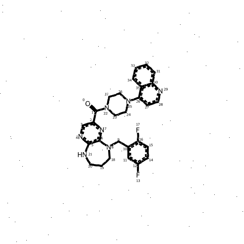 O=C(c1cnc2c(n1)N(Cc1cc(F)ccc1F)CCCN2)N1CCN(c2ccnc3ccccc23)CC1